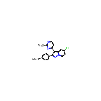 COc1ccc(-c2nn3ccc(Cl)cc3c2-c2ccnc(SC)n2)cc1